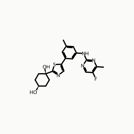 Cc1cc(Nc2ncc(F)c(C)n2)cc(-c2cnc([C@]3(O)CC[C@@H](O)CC3)s2)c1